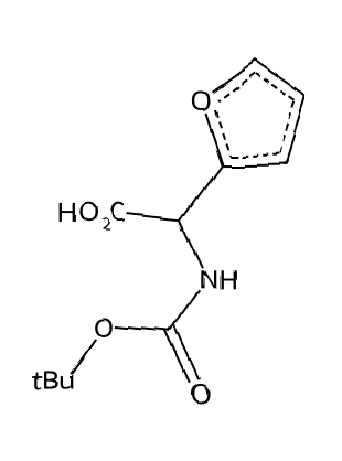 CC(C)(C)OC(=O)NC(C(=O)O)c1ccco1